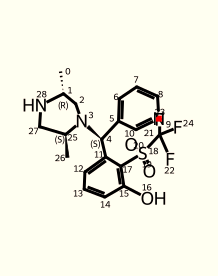 C[C@@H]1CN([C@@H](c2cccnc2)c2cccc(O)c2S(=O)(=O)C(F)(F)F)[C@@H](C)CN1